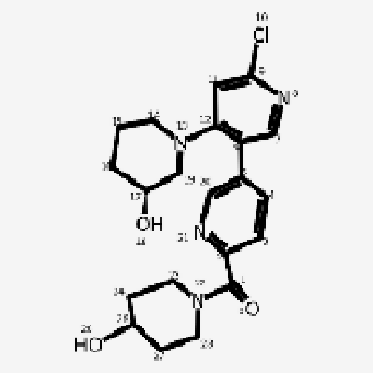 O=C(c1ccc(-c2cnc(Cl)cc2N2CCC[C@H](O)C2)cn1)N1CCC(O)CC1